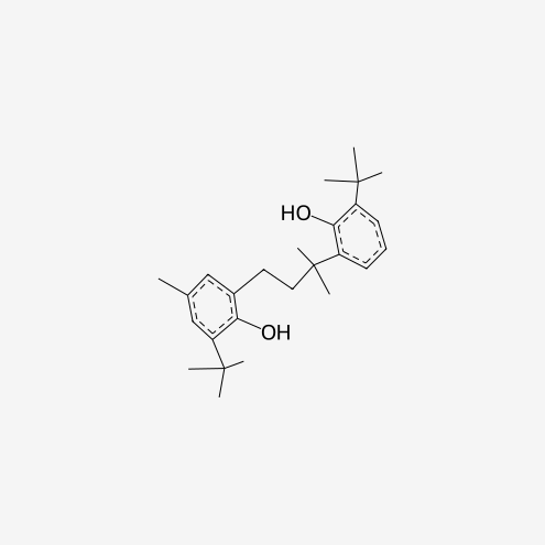 Cc1cc(CCC(C)(C)c2cccc(C(C)(C)C)c2O)c(O)c(C(C)(C)C)c1